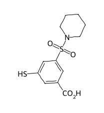 O=C(O)c1cc(S)cc(S(=O)(=O)N2CCCCC2)c1